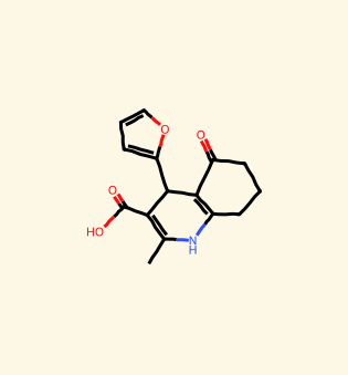 CC1=C(C(=O)O)C(c2ccco2)C2=C(CCCC2=O)N1